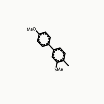 COc1ccc(-c2[c]c(SC)c(C)cc2)cc1